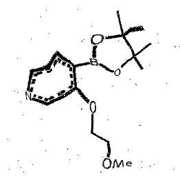 COCCOc1cnccc1B1OC(C)(C)C(C)(C)O1